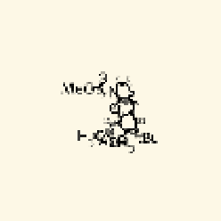 COC(=O)CN1C=CSC(=Cc2cc(CN(C)C)c(OC(C)=O)c(C(C)(C)C)c2)C1=O